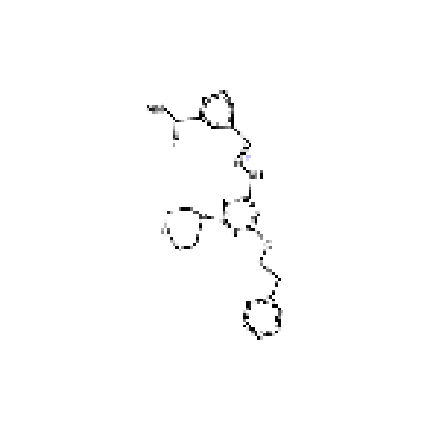 CNC(=O)c1cccc(/C=N/Nc2cc(N3CCOCC3)nc(OCCc3ccccn3)n2)c1